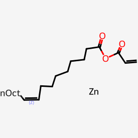 C=CC(=O)OC(=O)CCCCCCC/C=C\CCCCCCCC.[Zn]